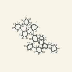 c1ccc(N(c2ccc3c(c2)-c2ccccc2-c2ccccc2C32c3ccccc3-c3c2ccc2c3oc3ccccc32)c2cccc3c2Oc2ccccc2-c2ccccc2-3)cc1